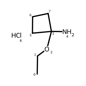 CCOC1(N)CCC1.Cl